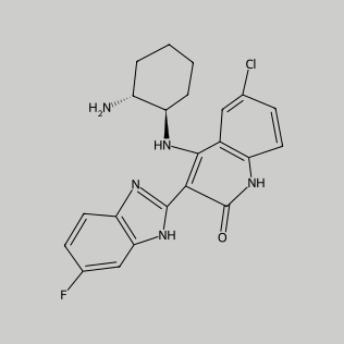 N[C@@H]1CCCC[C@H]1Nc1c(-c2nc3ccc(F)cc3[nH]2)c(=O)[nH]c2ccc(Cl)cc12